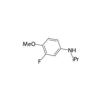 COc1ccc(NC(C)C)cc1F